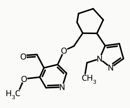 CCn1nccc1C1CCCCC1COc1cncc(OC)c1C=O